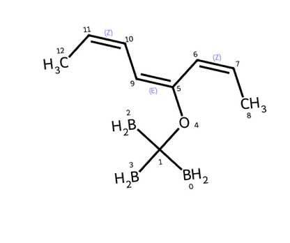 BC(B)(B)OC(/C=C\C)=C/C=C\C